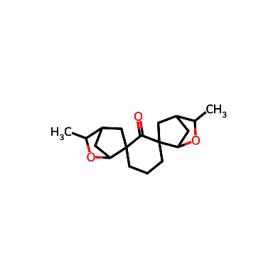 CC1OC2CC1CC21CCCC2(CC3CC2OC3C)C1=O